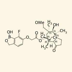 COC[C@]1(C)C[C@@H](OC(=O)COc2ccc3c(c2F)B(O)OC3)[C@]2(C)[C@H](C)CC[C@]3(CCC(=O)[C@H]32)[C@@H](C)[C@@H]1O